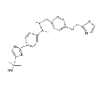 CC(Cc1ccc(OCc2nccs2)cc1)C(C)c1ccc(-c2nc(C(C)(C)O)co2)cc1